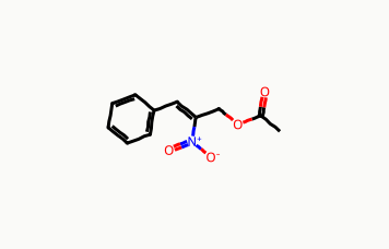 CC(=O)OCC(=Cc1ccccc1)[N+](=O)[O-]